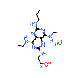 CCCNc1nc(NCC)c2nc(NC[C@@H](C)O)nc(NCC)c2n1.Cl